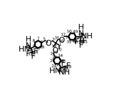 CCC(COCc1ccc(C2(C(F)(F)F)NN2)cc1)(COCc1ccc(C2(C(F)(F)F)NN2)cc1)COCc1ccc(C2(C(F)(F)F)NN2)cc1